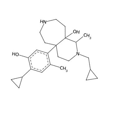 Cc1cc(C2CC2)c(O)cc1C12CCNCCC1(O)C(C)N(CC1CC1)CC2